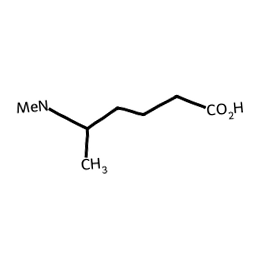 CNC(C)CCCC(=O)O